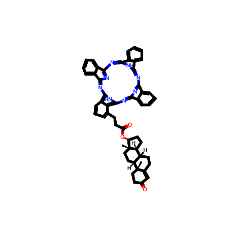 C[C@]12CC[C@H]3[C@@H](CCC4=CC(=O)CC[C@@]43C)[C@@H]1CC[C@@H]2OC(=O)CCc1cccc2c3nc4nc(nc5[nH]c(nc6nc(nc([nH]3)c12)-c1ccccc1-6)c1ccccc51)-c1ccccc1-4